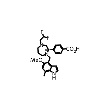 COc1cc(C)c2[nH]ccc2c1CN1CCCN(CC(F)F)C[C@H]1c1ccc(C(=O)O)cc1